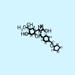 CC(C)c1cc(-c2nnc(O)n2Cc2ccc(COC3CCCC3)cc2)c(O)cc1O